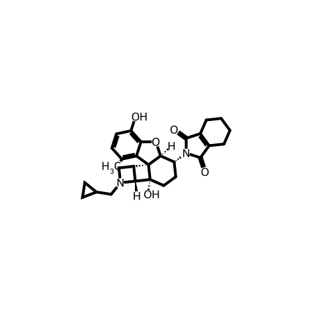 Cc1ccc(O)c2c1[C@]13C4CN(CC5CC5)[C@H]4[C@]1(O)CC[C@@H](N1C(=O)C4=C(CCCC4)C1=O)[C@@H]3O2